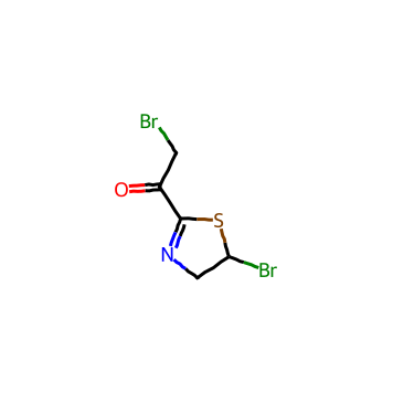 O=C(CBr)C1=NCC(Br)S1